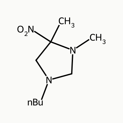 CCCCN1CN(C)C(C)([N+](=O)[O-])C1